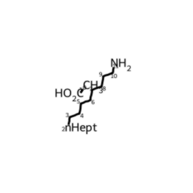 CC(=O)O.CCCCCCCCCCCCCCCN